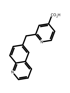 O=C(O)c1ccnc(Cc2ccc3ncccc3c2)c1